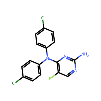 Nc1ncc(F)c(N(c2ccc(Cl)cc2)c2ccc(Cl)cc2)n1